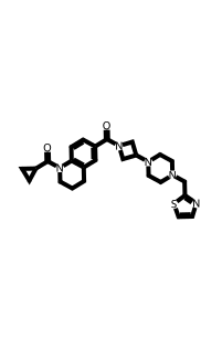 O=C(c1ccc2c(c1)CCCN2C(=O)C1CC1)N1CC(N2CCN(Cc3nccs3)CC2)C1